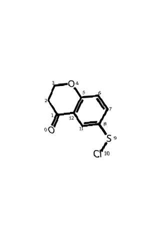 O=C1CCOc2ccc(SCl)cc21